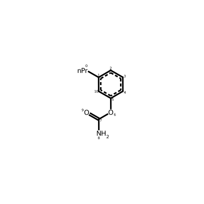 CCCc1cccc(OC(N)=O)c1